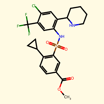 COC(=O)c1ccc(C2CC2)c(S(=O)(=O)Nc2cc(C(F)(F)F)c(Cl)cc2C2CCCCN2)c1